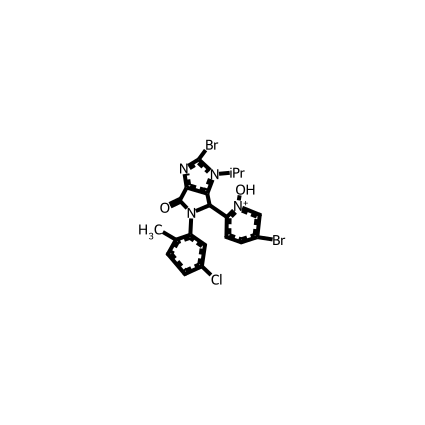 Cc1ccc(Cl)cc1N1C(=O)c2nc(Br)n(C(C)C)c2C1c1ccc(Br)c[n+]1O